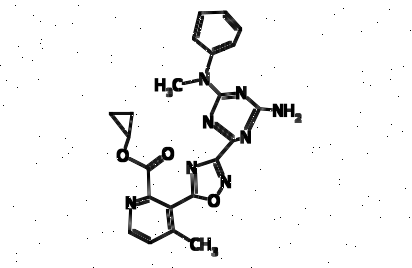 Cc1ccnc(C(=O)OC2CC2)c1-c1nc(-c2nc(N)nc(N(C)c3ccccc3)n2)no1